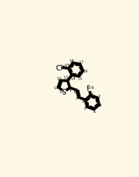 Fc1ccccc1C=CC1SC=CC1c1ccccc1Cl